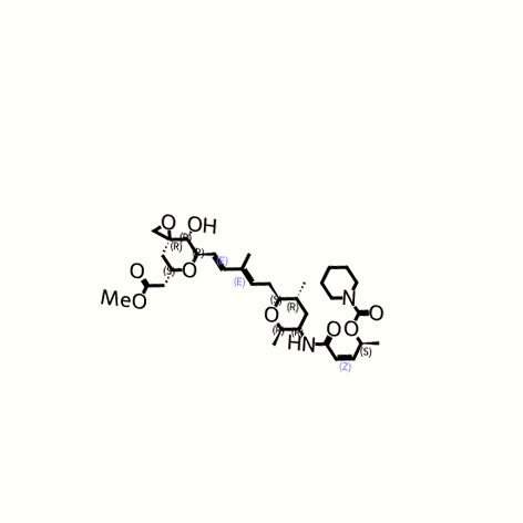 COC(=O)C[C@@H]1C[C@@]2(CO2)[C@H](O)[C@@H](/C=C/C(C)=C/C[C@@H]2O[C@H](C)[C@H](NC(=O)/C=C\[C@H](C)OC(=O)N3CCCCC3)C[C@H]2C)O1